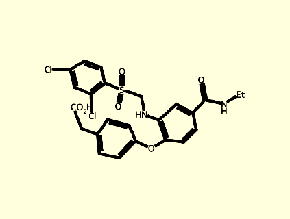 CCNC(=O)c1ccc(Oc2ccc(CC(=O)O)cc2)c(NCS(=O)(=O)c2ccc(Cl)cc2Cl)c1